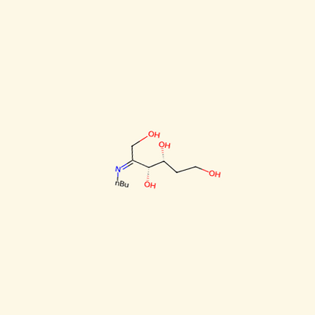 CCCCN=C(CO)[C@@H](O)[C@H](O)CCO